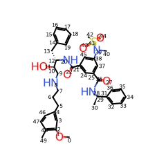 COc1cc(CCCNC[C@@H](O)[C@H](Cc2ccccc2)NC(=O)c2cc(C(=O)N[C@H](C)c3ccccc3)cc(N(C)S(C)(=O)=O)c2)ccc1C